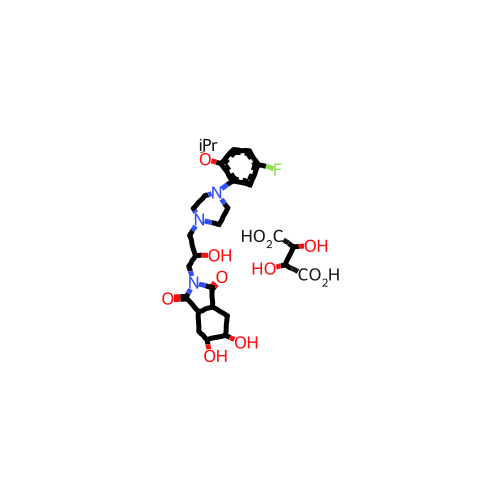 CC(C)Oc1ccc(F)cc1N1CCN(CC(O)CN2C(=O)C3CC(O)C(O)CC3C2=O)CC1.O=C(O)C(O)C(O)C(=O)O